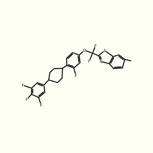 Cc1ccc2nc(C(F)(F)Oc3ccc(C4CCC(c5cc(F)c(F)c(F)c5)CC4)c(F)c3)sc2c1